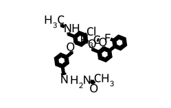 CC(N)=O.CCNCc1cc(Cl)c(OCc2cccc(-c3ccccc3F)c2OC)cc1OCc1cccc(C#N)c1